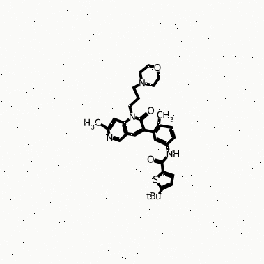 Cc1cc2c(cn1)cc(-c1cc(NC(=O)c3ccc(C(C)(C)C)s3)ccc1C)c(=O)n2CCCN1CCOCC1